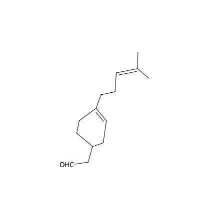 CC(C)=CCCC1=CCC(CC=O)CC1